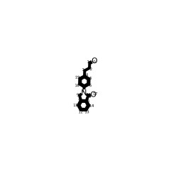 O=CCCc1ccc(N2Cc3ccccc3C2=O)cc1